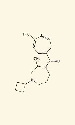 CC1=CC=C(C(=O)N2CCCN(C3CCC3)CC2C)CC=N1